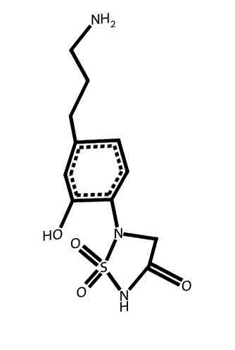 NCCCc1ccc(N2CC(=O)NS2(=O)=O)c(O)c1